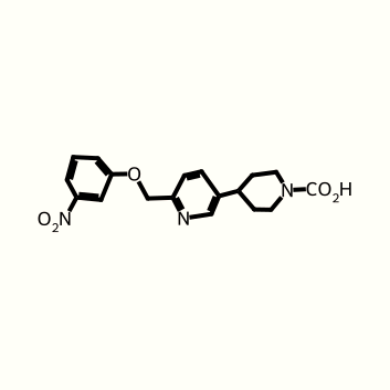 O=C(O)N1CCC(c2ccc(COc3cccc([N+](=O)[O-])c3)nc2)CC1